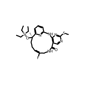 CC[Si](CC)(CC)O[C@]1(C)CC/C=C(/F)CNC(=O)c2cnc(SC)nc2Nc2cccc1n2